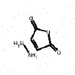 N[SiH3].O=C1C=CC(=O)O1